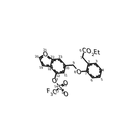 CCOC(=O)Cc1ccccc1OCc1cc(OS(=O)(=O)C(F)(F)F)c2ccoc2c1